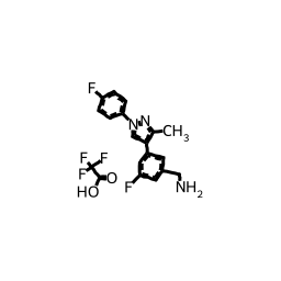 Cc1nn(-c2ccc(F)cc2)cc1-c1cc(F)cc(CN)c1.O=C(O)C(F)(F)F